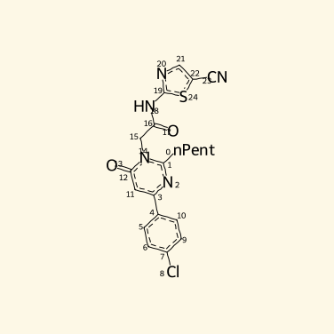 CCCCCc1nc(-c2ccc(Cl)cc2)cc(=O)n1CC(=O)Nc1ncc(C#N)s1